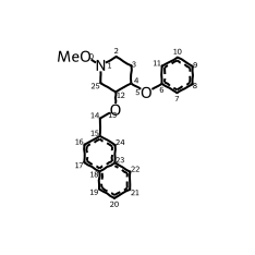 CON1CCC(Oc2ccccc2)C(OCc2ccc3ccccc3c2)C1